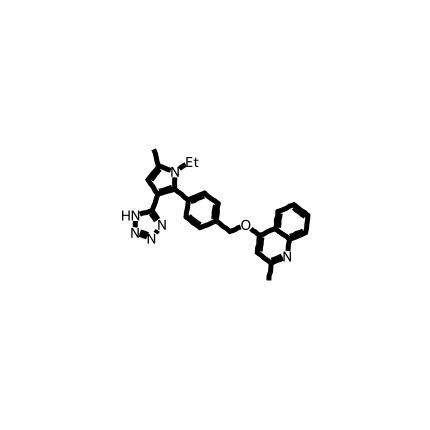 CCn1c(C)cc(-c2nnn[nH]2)c1-c1ccc(COc2cc(C)nc3ccccc23)cc1